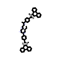 CCC\C=C(/C=C\C(C)=C\C=C(/C)c1ccc(-c2nc3c4ccccc4c4ccccc4c3n2C)cc1)c1ccc(-c2nc3c4ccccc4c4ccccc4c3n2C)cc1